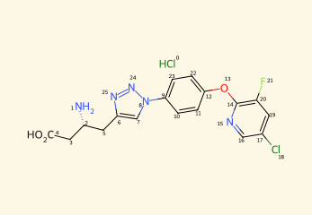 Cl.N[C@@H](CC(=O)O)Cc1cn(-c2ccc(Oc3ncc(Cl)cc3F)cc2)nn1